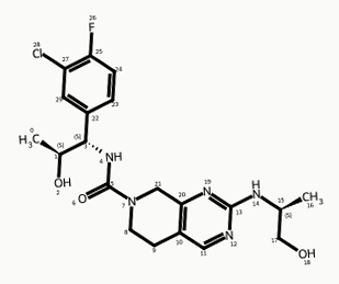 C[C@H](O)[C@@H](NC(=O)N1CCc2cnc(N[C@@H](C)CO)nc2C1)c1ccc(F)c(Cl)c1